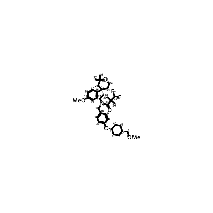 COC[C@H]1CC[C@H](Oc2ccc(CN(CC[C@@]3(c4ccc(OC)cc4)CCOC(C)(C)C3)C(=O)C(C)(C)C(F)F)cc2)CC1